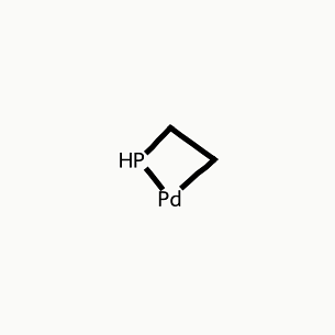 C1[CH2][Pd][PH]1